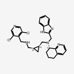 Clc1cncc(Cl)c1CNC[C@@H]1C[C@@H]1CN(Cc1nc2ccccc2[nH]1)[C@H]1CCCc2cccnc21